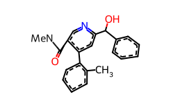 CNC(=O)c1cnc(C(O)c2ccccc2)cc1-c1ccccc1C